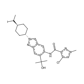 CC(I)[C@H]1CC[C@H](n2cc3cc(NC(=O)c4nn(C)cc4Cl)c(C(C)(C)O)cc3n2)CC1